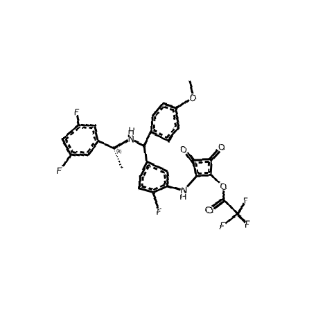 COc1ccc(C(N[C@H](C)c2cc(F)cc(F)c2)c2ccc(F)c(Nc3c(OC(=O)C(F)(F)F)c(=O)c3=O)c2)cc1